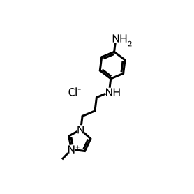 C[n+]1ccn(CCCNc2ccc(N)cc2)c1.[Cl-]